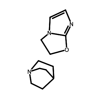 C1CN2CCC1CC2.c1cn2c(n1)OCC2